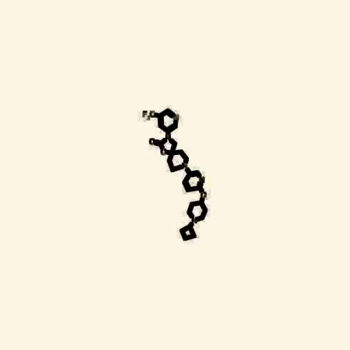 O=C1OC2(CCN(c3ccc(OC4CCN(C5CCC5)CC4)nc3)CC2)CN1c1cncc(C(F)(F)F)c1